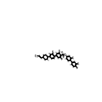 CC/C=C/C1CCC(c2ccc(-c3cc(F)c(C(F)(F)Oc4ccc(-c5ccc(F)c(F)c5)c(F)c4)c(F)c3)c(F)c2)CC1